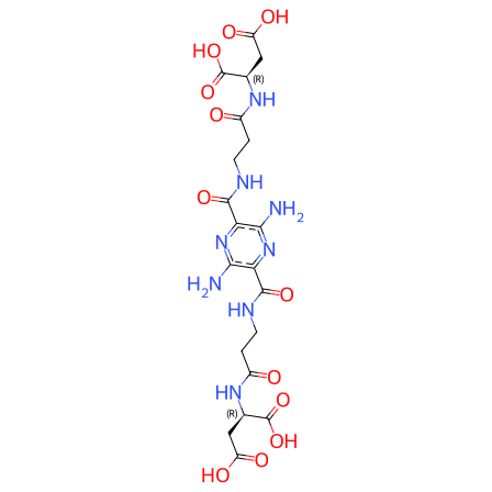 Nc1nc(C(=O)NCCC(=O)N[C@H](CC(=O)O)C(=O)O)c(N)nc1C(=O)NCCC(=O)N[C@H](CC(=O)O)C(=O)O